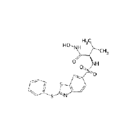 CC(C)[C@@H](NS(=O)(=O)c1ccc2nc(Sc3ccccc3)sc2c1)C(=O)NO